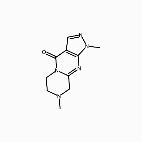 CN1CCn2c(nc3c(cnn3C)c2=O)C1